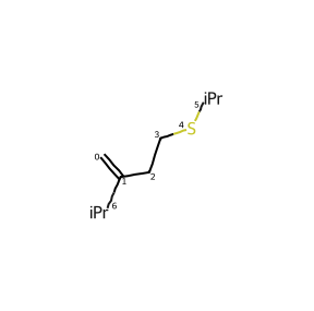 C=C(CCSC(C)C)C(C)C